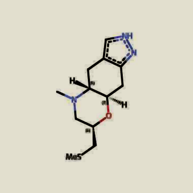 CSC[C@H]1CN(C)[C@@H]2Cc3c[nH]nc3C[C@H]2O1